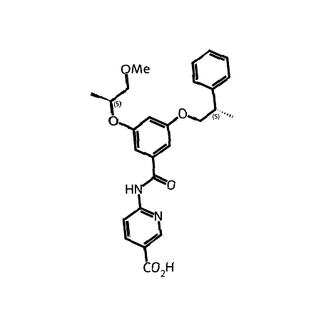 COC[C@H](C)Oc1cc(OC[C@@H](C)c2ccccc2)cc(C(=O)Nc2ccc(C(=O)O)cn2)c1